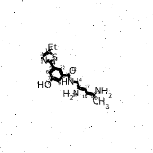 CCc1cnc(-c2cc(O)cc(C(=O)NC/C(N)=C/C=C(/C)N)c2)s1